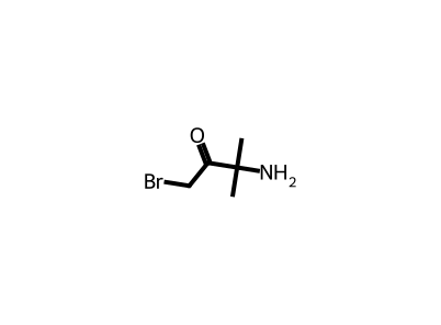 CC(C)(N)C(=O)CBr